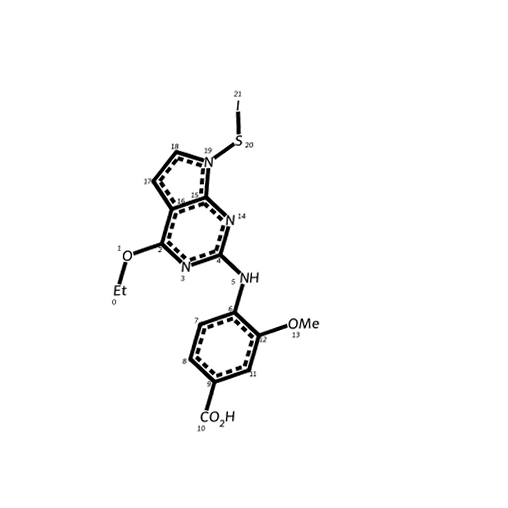 CCOc1nc(Nc2ccc(C(=O)O)cc2OC)nc2c1ccn2SI